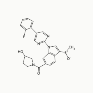 C[S+]([O-])c1cn(-c2ncc(-c3ccccc3F)cn2)c2cc(C(=O)N3CCC(O)C3)ccc12